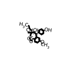 CCCC[C@]1(CC)CS(=O)(=O)c2ccc(OC)cc2[C@H](c2ccc(O)cc2)[C@@H]1O